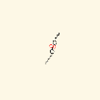 CCCCCCCC1CCC(C(=O)O[C@H]2CC[C@H](CCCCC)CC2)CC1